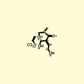 C=CC(=O)O.CN(CO)C(=O)C(=CCO)CO